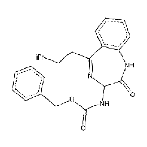 CC(C)CCC1=NC(NC(=O)OCc2ccccc2)C(=O)Nc2ccccc21